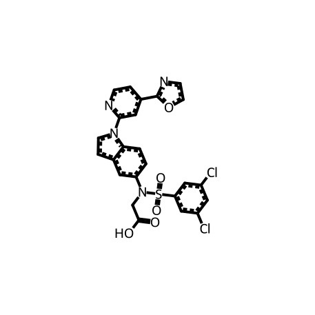 O=C(O)CN(c1ccc2c(ccn2-c2cc(-c3ncco3)ccn2)c1)S(=O)(=O)c1cc(Cl)cc(Cl)c1